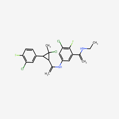 C=C(NCC)c1cc(NC(=C)C2C(c3ccc(F)c(Cl)c3)C2(C)Cl)cc(Cl)c1F